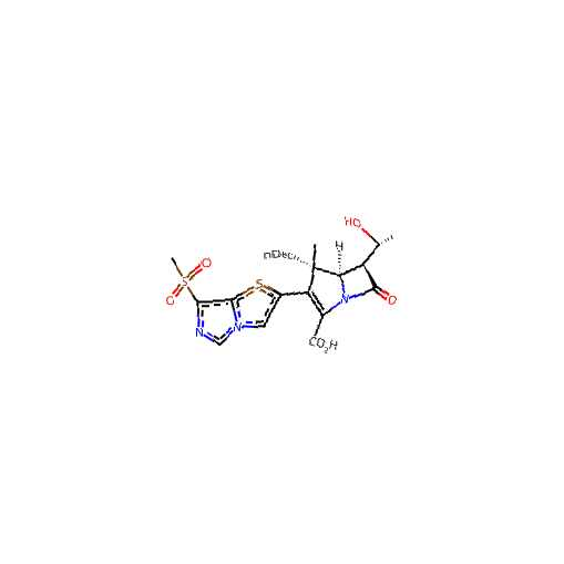 CCCCCCCCCC[C@@]1(C)C(c2cn3cnc(S(C)(=O)=O)c3s2)=C(C(=O)O)N2C(=O)[C@H]([C@@H](C)O)[C@@H]21